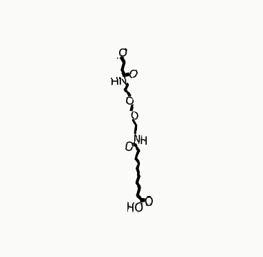 O=[C]CCC(=O)NCCCOCCOCCCNC(=O)CCCCCCCCC(=O)O